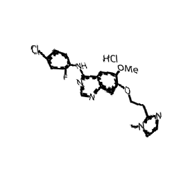 COc1cc2c(Nc3ccc(Cl)cc3F)ncnc2cc1OCCc1nccn1C.Cl